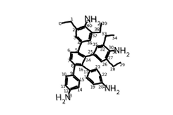 CCc1cc(-c2ccc(-c3ccc(N)cc3)c(-c3ccc(N)cc3)c2-c2cc(CC)c(N)c(CC)c2)cc(CC)c1N